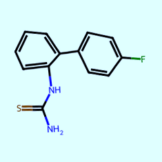 NC(=S)Nc1ccccc1-c1ccc(F)cc1